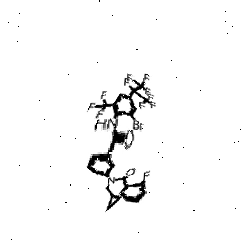 O=C(Nc1c(Br)cc(C(F)(C(F)(F)F)C(F)(F)F)cc1C(F)(F)F)c1cccc(N(CC2CC2)C(=O)c2ccccc2F)c1